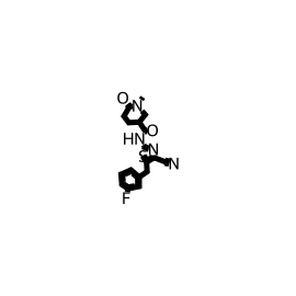 CN1CC(C(=O)Nc2nc(C#N)c(Cc3cccc(F)c3)s2)CCC1=O